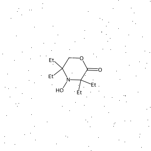 CCC1(CC)COC(=O)C(CC)(CC)N1O